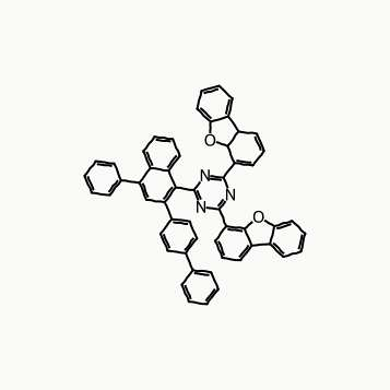 C1=CC2c3ccccc3OC2C(c2nc(-c3c(-c4ccc(-c5ccccc5)cc4)cc(-c4ccccc4)c4ccccc34)nc(-c3cccc4c3oc3ccccc34)n2)=C1